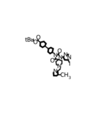 Cc1cccnc1CN1CCC2(CC1)C(=O)N(c1ccc(-c3ccc(C(=O)OC(C)(C)C)cc3)cc1)C(=O)N2c1cc(I)ncn1